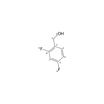 O[CH]c1ccc(F)cc1F